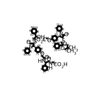 CC1(C)COC(CS[C@H]2C(=O)N(c3ccccc3)[C@@H]2c2ccc(OCC(=O)O)cc2)(c2ccccc2)OC1.O=C(O)CNC(=O)[C@H](NC(=O)COc1ccc([C@@H]2[C@@H](SCC(O)c3ccccc3)C(=O)N2c2ccccc2)cc1)c1ccccc1